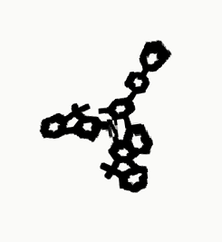 Cc1cc(-c2ccc(-c3ccccc3)cc2)cc(-c2ccccc2)c1N(c1ccc2c(c1)C(C)(C)c1ccccc1-2)c1ccc2c(c1)C(C)(C)c1ccccc1-2